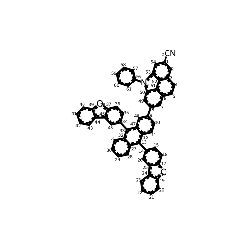 N#Cc1cc2ccc3cc(-c4ccc5c(-c6ccc7oc8ccccc8c7c6)c6ccccc6c(-c6ccc7oc8ccccc8c7c6)c5c4)cc4c3c2c(c1)n4-c1ccccc1